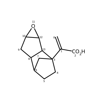 C=C(C(=O)O)C12CCC(C1)C1CC3OC3C12